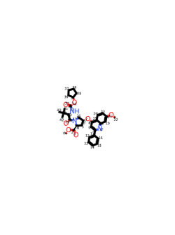 COC(=O)[C@@H]1C[C@@H](Oc2cc(-c3ccccc3)nc3cc(OC)ccc23)CN1C(=O)[C@@H](NC(=O)OC1CCCC1)C(C)(C)C